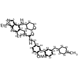 CCc1nc2c(cnn2CC)c(NC2CCOCC2)c1CNC(=O)NCc1ccc(OC)c(-c2cccc(CC3CCN(C)CC3)c2)c1